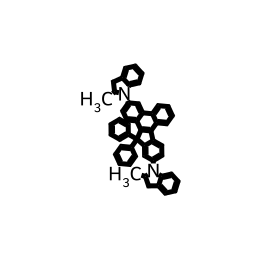 CC1Cc2ccccc2N1c1ccc2c(c1)C(c1ccccc1)(c1ccccc1)c1c-2c2ccccc2c2cc(N3c4ccccc4CC3C)ccc12